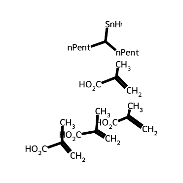 C=C(C)C(=O)O.C=C(C)C(=O)O.C=C(C)C(=O)O.C=C(C)C(=O)O.CCCCC[CH]([SnH])CCCCC